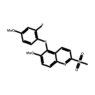 COc1ccc(Sc2c(OC)ccc3nc(S(C)(=O)=O)ccc23)c(F)c1